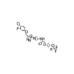 O=C(CO[C@H]1C[C@@H](OC(F)(F)F)C1)NC1CN(c2nnc(COc3ccc(Cl)c(F)c3)o2)C1